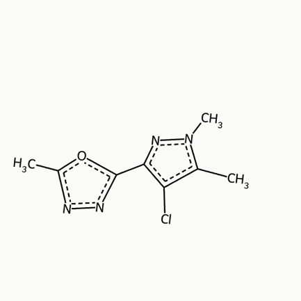 Cc1nnc(-c2nn(C)c(C)c2Cl)o1